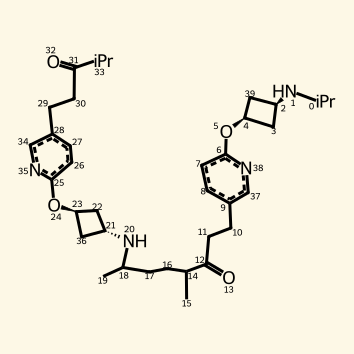 CC(C)N[C@H]1C[C@@H](Oc2ccc(CCC(=O)C(C)CCC(C)N[C@H]3C[C@H](Oc4ccc(CCC(=O)C(C)C)cn4)C3)cn2)C1